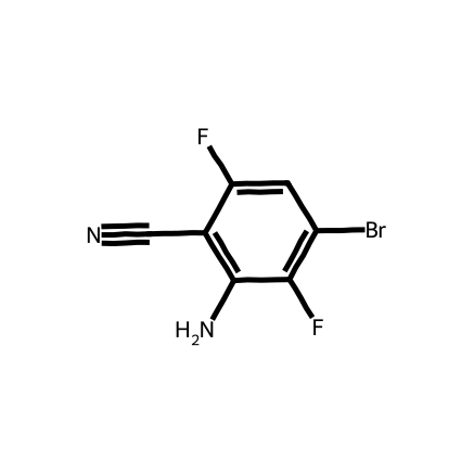 N#Cc1c(F)cc(Br)c(F)c1N